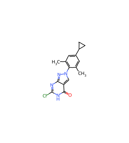 Cc1cc(C2CC2)cc(C)c1-n1cc2c(=O)[nH]c(Cl)nc2n1